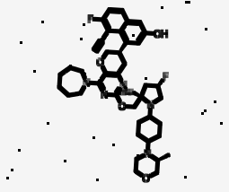 C#Cc1c(F)ccc2cc(O)cc([C@@H]3COc4c(nc(OC[C@]5(C(C)(C)C)C[C@@H](F)CN5C5CCC(N6CCOC[C@@H]6C)CC5)nc4N4CCCCCC4)C3)c12